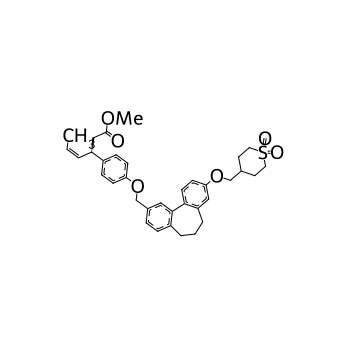 C/C=C\[C@@H](CC(=O)OC)c1ccc(OCc2ccc3c(c2)-c2ccc(OCC4CCS(=O)(=O)CC4)cc2CCC3)cc1